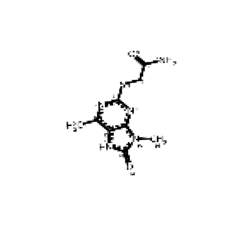 Cc1nc(SCC(N)=O)nc2c1[nH]c(=O)n2C